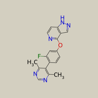 Cc1ncnc(C)c1-c1ccc(Oc2nccc3[nH]ncc23)cc1F